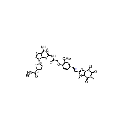 CCNC(=O)[C@@H]1CC[C@H](n2cnc3c(N)nc(NC(=O)COc4ccc(/C=C/c5nc6c(c(=O)n(C)c(=O)n6CC)n5C)cc4OC)nc32)O1